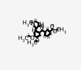 CCOc1cc2c(cc1OC)C(c1cccc(C(=O)OC)c1)=N[C@@H]1CCN(C)C[C@H]21